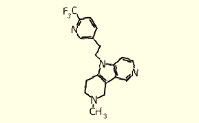 CN1CCc2c(c3cnccc3n2CCc2ccc(C(F)(F)F)nc2)C1